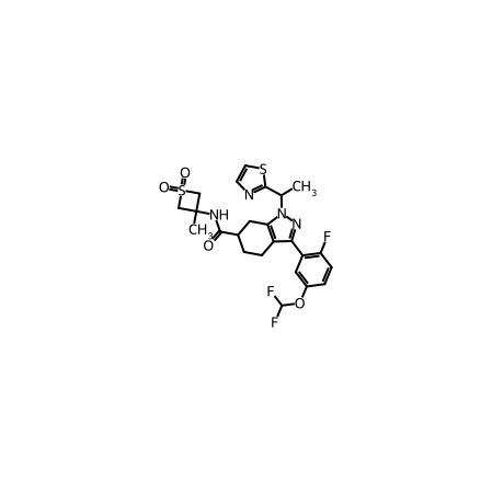 CC(c1nccs1)n1nc(-c2cc(OC(F)F)ccc2F)c2c1CC(C(=O)NC1(C)CS(=O)(=O)C1)CC2